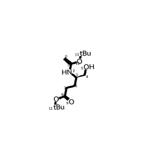 C=C(N[C@@H](CO)CCC(=O)OC(C)(C)C)OC(C)(C)C